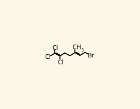 C/C(=C\CBr)CCC(Cl)=C(Cl)Cl